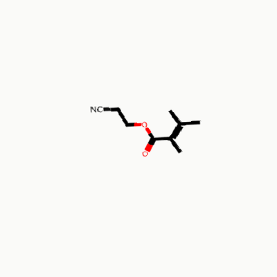 CC(C)=C(C)C(=O)OCCC#N